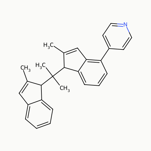 CC1=Cc2ccccc2C1C(C)(C)C1C(C)=Cc2c(-c3ccncc3)cccc21